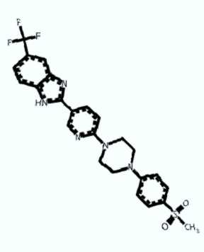 CS(=O)(=O)c1ccc(N2CCN(c3ccc(-c4nc5cc(C(F)(F)F)ccc5[nH]4)cn3)CC2)cc1